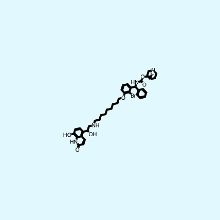 O=C(NC(c1ccccc1)c1cccc(OCCCCCCCCCNCC(O)c2ccc(O)c3[nH]c(=O)ccc23)c1Br)OC1CN2CCC1CC2